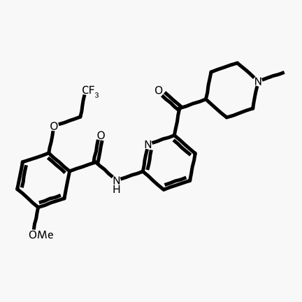 COc1ccc(OCC(F)(F)F)c(C(=O)Nc2cccc(C(=O)C3CCN(C)CC3)n2)c1